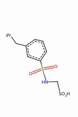 CC(C)Cc1cccc(S(=O)(=O)NCS(=O)(=O)O)c1